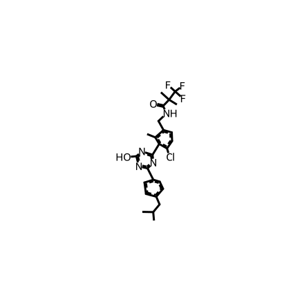 Cc1c(CNC(=O)C(C)(C)C(F)(F)F)ccc(Cl)c1-c1nc(O)nc(-c2ccc(CC(C)C)cc2)n1